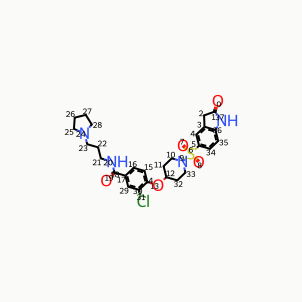 O=C1Cc2cc(S(=O)(=O)N3CCC(Oc4ccc(C(=O)NCCCN5CCCC5)cc4Cl)CC3)ccc2N1